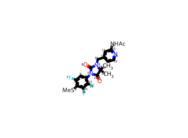 CSc1c(F)cc(N2C(=O)N(Cc3ccnc(NC(C)=O)c3)C(C)(C)C2=O)c(F)c1F